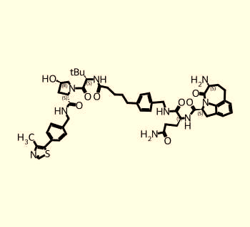 Cc1ncsc1-c1ccc(CNC(=O)[C@@H]2C[C@@H](O)CN2C(=O)[C@@H](NC(=O)CCCCc2ccc(CNC(=O)[C@H](CCC(N)=O)NC(=O)[C@@H]3Cc4cccc5c4N3C(=O)[C@@H](N)CC5)cc2)C(C)(C)C)cc1